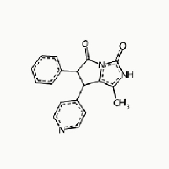 Cc1[nH]c(=O)n2c1C(c1ccncc1)C(c1ccccc1)C2=O